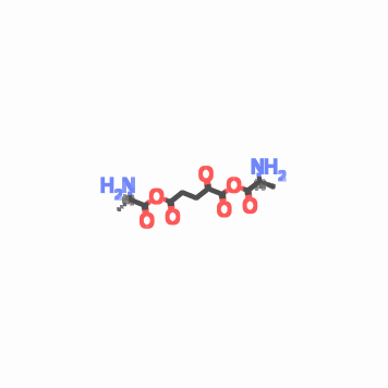 C[C@H](N)C(=O)OC(=O)CCC(=O)C(=O)OC(=O)[C@H](C)N